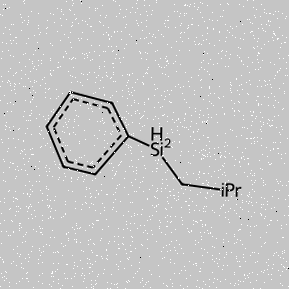 CC(C)C[SiH2]c1ccccc1